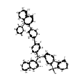 CC1(C)c2ccccc2-c2ccc(N(c3ccc(-c4ccc(-c5ccc6ccccc6c5-c5ccccc5)cc4)cc3)c3ccc4ccccc4c3)cc21